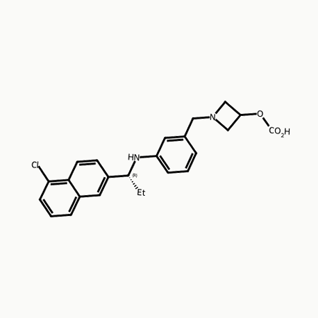 CC[C@@H](Nc1cccc(CN2CC(OC(=O)O)C2)c1)c1ccc2c(Cl)cccc2c1